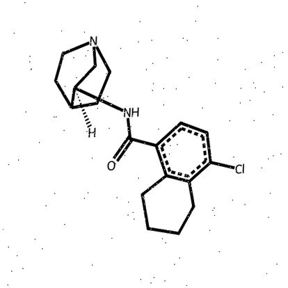 O=C(N[C@@H]1CN2CCC1CC2)c1ccc(Cl)c2c1CCCC2